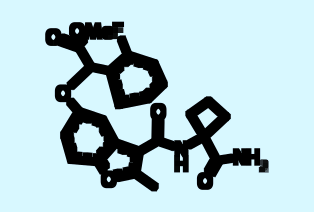 COC(=O)C(Oc1ccc2oc(C)c(C(=O)NC3(C(N)=O)CCC3)c2c1)c1ccccc1F